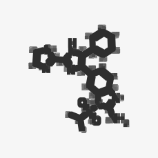 CC(C)S(=O)(=O)n1c(N)nc2ccc(-c3nc(-c4nccs4)[nH]c3-c3ccccc3)cc21